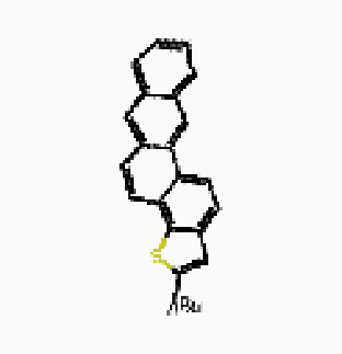 CCCCc1cc2ccc3c4cc5ccccc5cc4ccc3c2s1